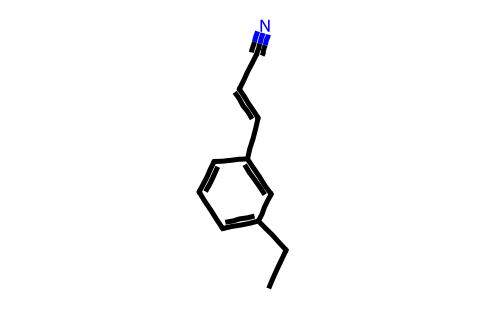 CCc1cccc(/C=C/C#N)c1